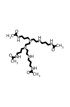 CC(=O)NCCCNCCN(CCCNC(C)=O)CCN(CCCNC(C)=O)CCNCCCNC(C)=O